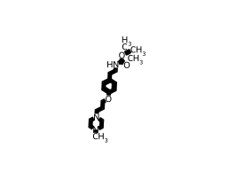 CN1CCN(CCCOc2ccc(CCNC(=O)OC(C)(C)C)cc2)CC1